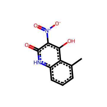 Cc1cccc2[nH]c(=O)c([N+](=O)[O-])c(O)c12